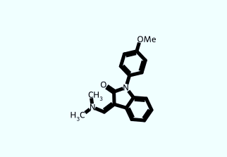 COc1ccc(N2C(=O)C(=CN(C)C)c3ccccc32)cc1